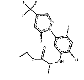 CCOC(=O)C(C)Nc1cc(-n2ncc(C(F)(F)F)cc2=O)c(F)cc1Cl